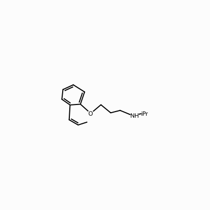 C/C=C\c1ccccc1OCCCNC(C)C